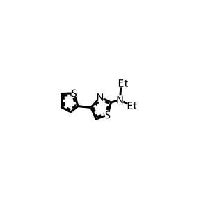 CCN(CC)c1nc(-c2cccs2)cs1